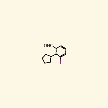 O=Cc1cccc(I)c1C1CCCC1